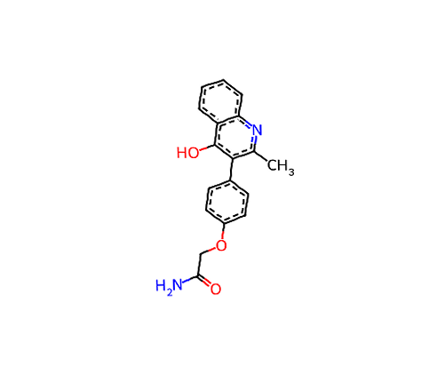 Cc1nc2ccccc2c(O)c1-c1ccc(OCC(N)=O)cc1